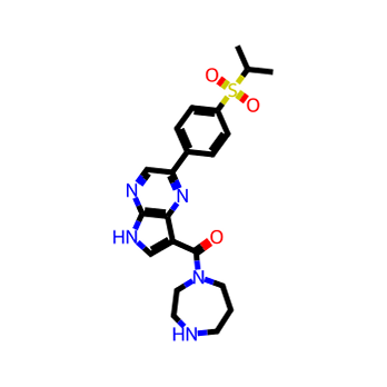 CC(C)S(=O)(=O)c1ccc(-c2cnc3[nH]cc(C(=O)N4CCCNCC4)c3n2)cc1